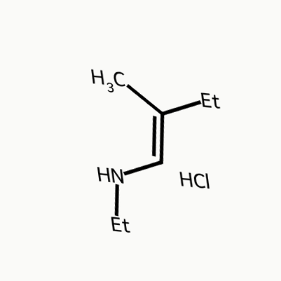 CCNC=C(C)CC.Cl